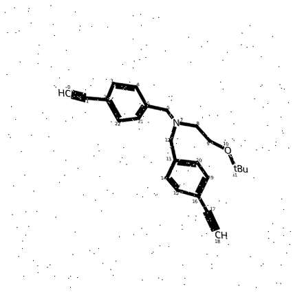 C#Cc1ccc(CN(CCOC(C)(C)C)Cc2ccc(C#C)cc2)cc1